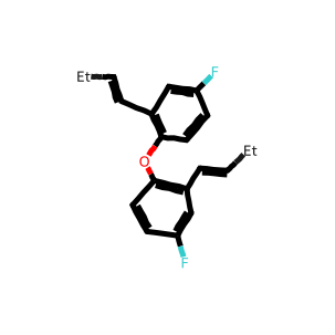 CCC=Cc1cc(F)ccc1Oc1ccc(F)cc1C=CCC